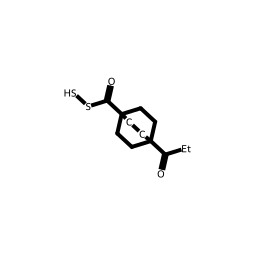 CCC(=O)C12CCC(C(=O)SS)(CC1)CC2